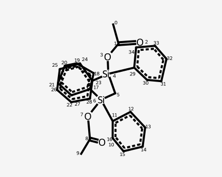 CC(=O)O[Si](C[Si](OC(C)=O)(c1ccccc1)c1ccccc1)(c1ccccc1)c1ccccc1